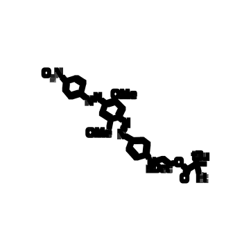 CCCCCCCCCCN(CCOC(=O)C(C)(CC)C(C)(C)C)c1ccc(/N=N/c2cc(OC)c(/N=N/c3ccc([N+](=O)[O-])cc3)cc2OC)cc1